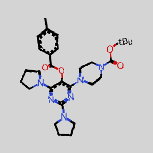 Cc1ccc(C(=O)Oc2c(N3CCCC3)nc(N3CCCC3)nc2N2CCN(C(=O)OC(C)(C)C)CC2)cc1